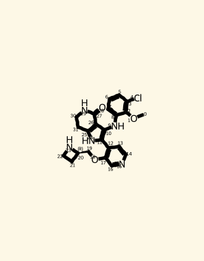 COc1c(Cl)cccc1Nc1c(-c2ccncc2OC[C@H]2CCN2)[nH]c2c1C(=O)NCC2